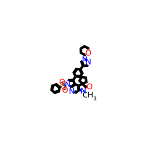 CN1C(=O)C2(CCCC2)c2c1cnc1c2c(-c2ccc(-c3cnn(C4CCCCO4)c3)cc2)cn1S(=O)(=O)c1ccccc1